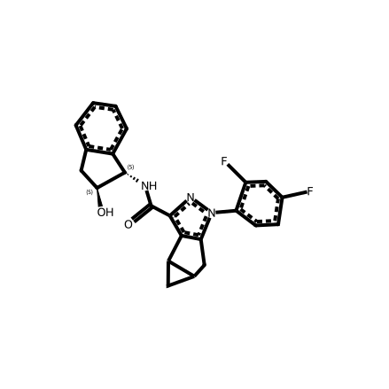 O=C(N[C@H]1c2ccccc2C[C@@H]1O)c1nn(-c2ccc(F)cc2F)c2c1C1CC1C2